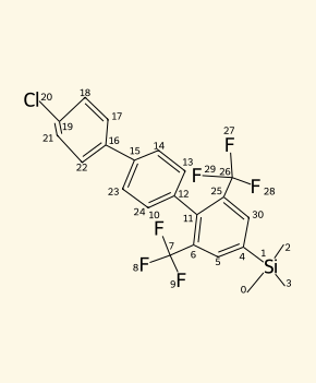 C[Si](C)(C)c1cc(C(F)(F)F)c(-c2ccc(-c3ccc(Cl)cc3)cc2)c(C(F)(F)F)c1